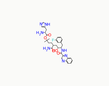 CC(C)(CCC(CC(O)C(Cc1cccc(F)c1)NC(=O)c1cnc2ccccc2n1)C(N)=O)OC(=O)[C@@H](N)Cc1cnc[nH]1